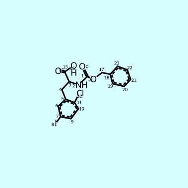 O=C(NC(Cc1cc(I)ccc1Cl)C(=O)O)OCc1ccccc1